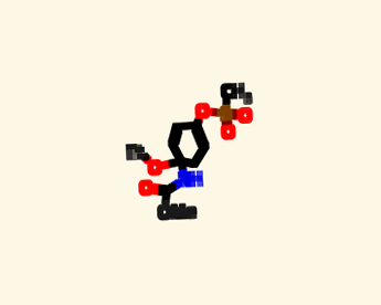 CCOC1(NC(=O)OC)C=CC(OS(C)(=O)=O)=CC1